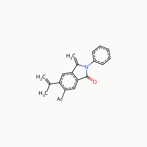 C=C(C)c1cc2c(cc1C(C)=O)C(=O)N(c1ccccc1)C2=C